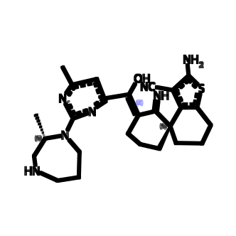 Cc1cc(/C(O)=C2\CCC[C@@]3(CCCc4sc(N)c(C#N)c43)C2=N)nc(N2CCCNC[C@@H]2C)n1